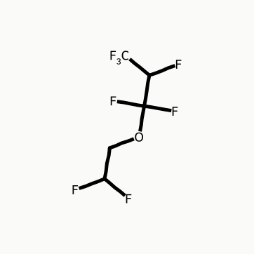 FC(F)COC(F)(F)C(F)C(F)(F)F